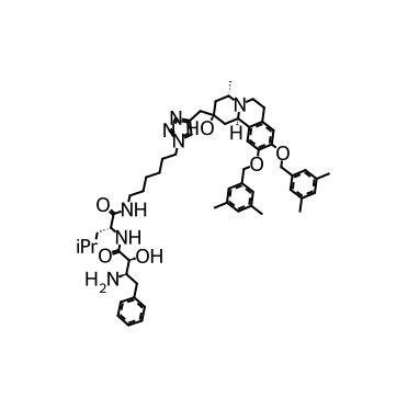 Cc1cc(C)cc(COc2cc3c(cc2OCc2cc(C)cc(C)c2)[C@H]2C[C@](O)(Cc4cn(CCCCCCNC(=O)[C@@H](CC(C)C)NC(=O)[C@@H](O)[C@H](N)Cc5ccccc5)nn4)C[C@H](C)N2CC3)c1